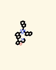 c1ccc2cc(-c3nc(-c4ccc5ccccc5c4)nc(-c4cccc5cc(-c6cccc7oc8cccnc8c67)ccc45)n3)ccc2c1